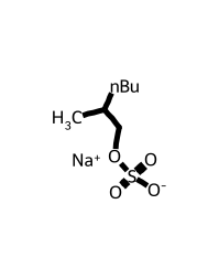 CCCCC(C)COS(=O)(=O)[O-].[Na+]